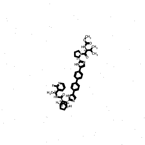 COC(=O)N[C@H](C(=O)N1CCC[C@H]1c1ncc(-c2ccc(-c3ccc(-c4cnc([C@@H]5[C@H]6CC[C@H](C6)[C@H]5C(=O)N[C@@H](C)c5cccnc5F)[nH]4)cc3)cc2)[nH]1)C(C)C